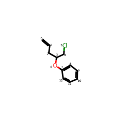 C=CCC(CCl)Oc1ccccc1